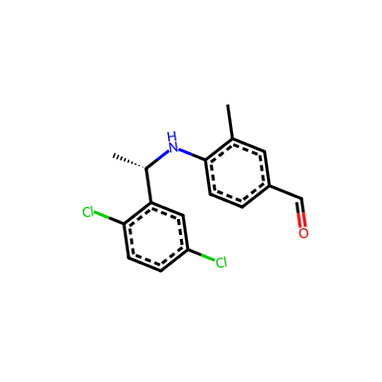 Cc1cc(C=O)ccc1N[C@@H](C)c1cc(Cl)ccc1Cl